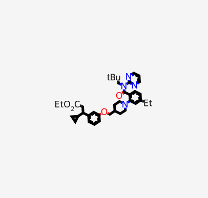 CCOC(=O)CC(c1cccc(OCC2CCN(c3cc(CC)ccc3C(=O)N(CC(C)(C)C)c3ncccn3)CC2)c1)C1CC1